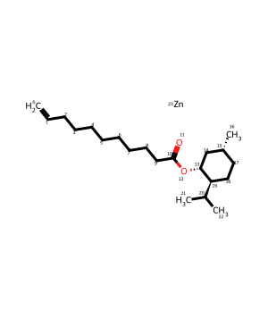 C=CCCCCCCCCC(=O)O[C@@H]1C[C@H](C)CC[C@H]1C(C)C.[Zn]